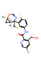 O=C(Nc1ccc(F)c([C@@]2(C(F)F)N=CO[C@@H]3C[C@@H]32)c1)c1ncc(Cl)cc1CO